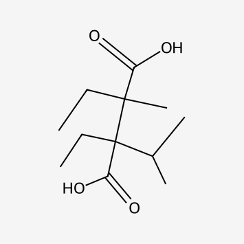 CCC(C)(C(=O)O)C(CC)(C(=O)O)C(C)C